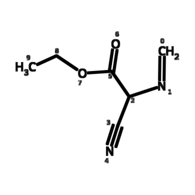 C=NC(C#N)C(=O)OCC